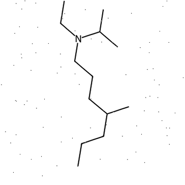 CCCC(C)CCCN(CC)C(C)C